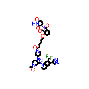 CC(=O)N1CCc2c(c(N3CCCc4cc(-c5cnn(C)c5)c(C(F)F)cc43)nn2C2CCN(C(=O)CCCCCOc3cccc4c3C(=O)N(C3CCC(=O)NC3=O)C4=O)CC2)C1